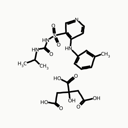 Cc1cccc(Nc2ccncc2S(=O)(=O)NC(=O)NC(C)C)c1.O=C(O)CC(O)(CC(=O)O)C(=O)O